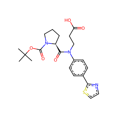 CC(C)(C)OC(=O)N1CCC[C@H]1C(=O)N(CCC(=O)O)c1ccc(-c2nccs2)cc1